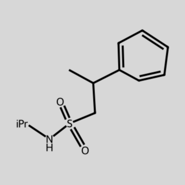 CC(C)NS(=O)(=O)CC(C)c1ccccc1